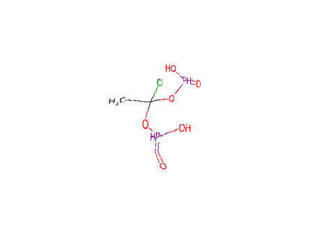 CC(Cl)(O[PH](=O)O)O[PH](=O)O